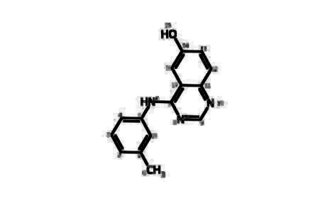 Cc1cccc(Nc2ncnc3ccc(O)cc23)c1